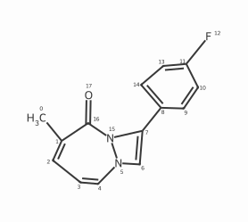 Cc1cccn2cc(-c3ccc(F)cc3)n2c1=O